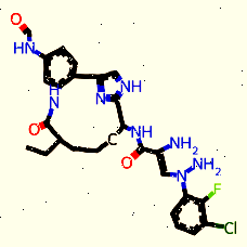 CCC1CCCC(NC(=O)/C(N)=C/N(N)c2cccc(Cl)c2F)c2nc(c[nH]2)-c2ccc(NC=O)cc2NC1=O